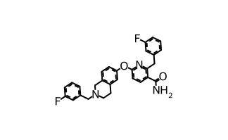 NC(=O)c1ccc(Oc2ccc3c(c2)CCN(Cc2cccc(F)c2)C3)nc1Cc1cccc(F)c1